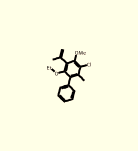 C=C(C)c1c(OC)c(Cl)c(C)c(-c2ccccc2)c1OCC